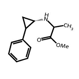 COC(=O)C(C)N[C@H]1CC1c1ccccc1